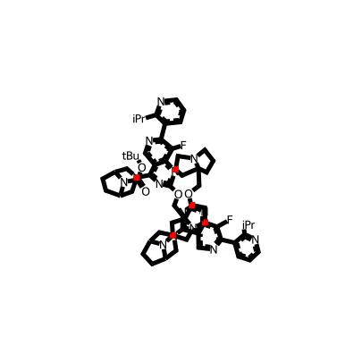 CC(C)c1ncccc1-c1ncc2c(N3CC4CCC(C3)N4C(=O)OC(C)(C)C)nc(OCC34CCCN3CC(N3C5CCC3CN(c3nc(OCC67CCCN6CCC7)nc6c(F)c(-c7cccnc7C(C)C)ncc36)C5)C4)nc2c1F